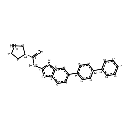 O=C(Nc1nc2ccc(-c3ccc(-c4ccccc4)cc3)cc2s1)[C@@H]1CCNC1